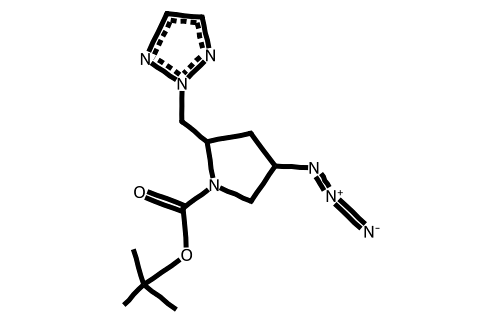 CC(C)(C)OC(=O)N1CC(N=[N+]=[N-])CC1Cn1nccn1